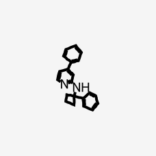 c1ccc(-c2ccnc(NC3(c4ccccc4)CCC3)c2)cc1